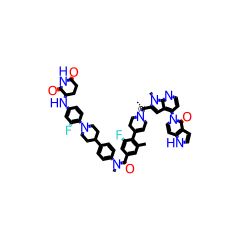 Cc1cc(C(=O)N(C)c2ccc(C3CCN(c4ccc(NC5CCC(=O)NC5=O)cc4F)CC3)cc2)cc(F)c1C1=CCN([C@H](C)c2cc3c(-n4ccc5[nH]ccc5c4=O)ccnc3n2C)CC1